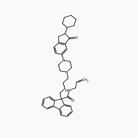 C=CCNC(=O)C1(CCCCN2CCN(c3ccc4c(c3)C(=O)N(C3CCCCC3)C4)CC2)c2ccccc2-c2ccccc21